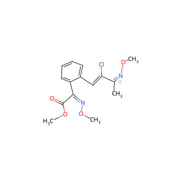 CON=C(C(=O)OC)c1ccccc1C=C(Cl)/C(C)=N\OC